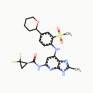 Cc1nc2c(Nc3ccc(C4CCCCO4)cc3S(C)(=O)=O)cc(NC(=O)[C@H]3CC3(F)F)nc2[nH]1